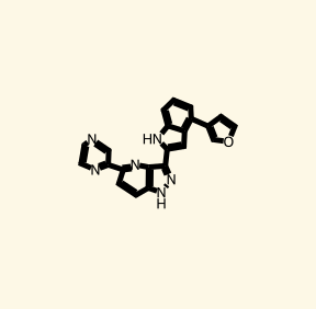 c1cc(-c2ccoc2)c2cc(-c3n[nH]c4ccc(-c5cnccn5)nc34)[nH]c2c1